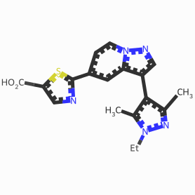 CCn1nc(C)c(-c2cnn3ccc(-c4ncc(C(=O)O)s4)cc23)c1C